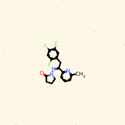 Cc1cccc(C(Cc2cc(F)c(F)cc2F)=NN2CCCC2=O)n1